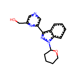 OCc1cncc(-c2nn(C3CCCCO3)c3ccccc23)n1